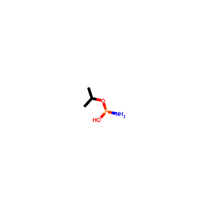 CC(C)OP(N)O